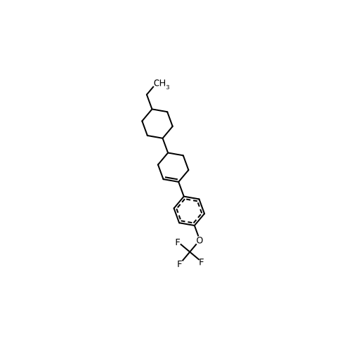 CCC1CCC(C2CC=C(c3ccc(OC(F)(F)F)cc3)CC2)CC1